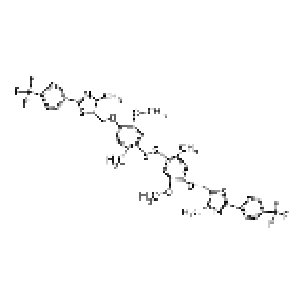 COc1cc(SSc2cc(OC)c(OCC3SC(c4ccc(C(F)(F)F)cc4)=NC3C)cc2C)c(C)cc1OCc1sc(-c2ccc(C(F)(F)F)cc2)nc1C